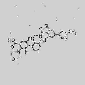 Cn1cc(-c2cc(Cl)c(C(=O)N3COc4c(cccc4-c4c(F)cc(C(=O)O)c(N5CCOCC5)c4F)C3)c(Cl)c2)cn1